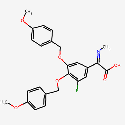 CN=C(C(=O)O)c1cc(F)c(OCc2ccc(OC)cc2)c(OCc2ccc(OC)cc2)c1